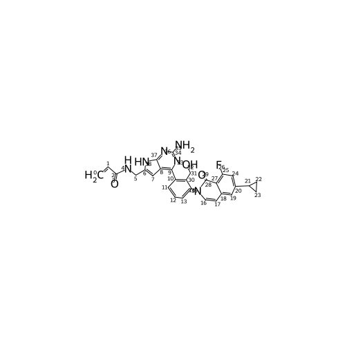 C=CC(=O)NCc1cc2c(-c3cccc(-n4ccc5cc(C6CC6)cc(F)c5c4=O)c3CO)nc(N)nc2[nH]1